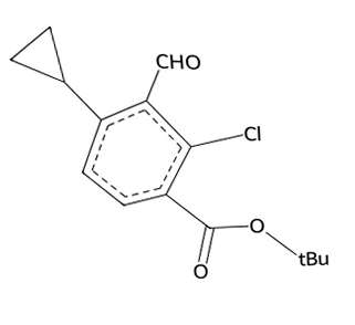 CC(C)(C)OC(=O)c1ccc(C2CC2)c(C=O)c1Cl